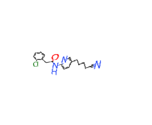 N#CCCCCc1ccc(NC(=O)Cc2ccccc2Cl)nc1